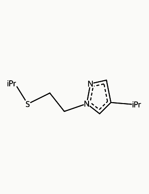 CC(C)SCCn1cc(C(C)C)cn1